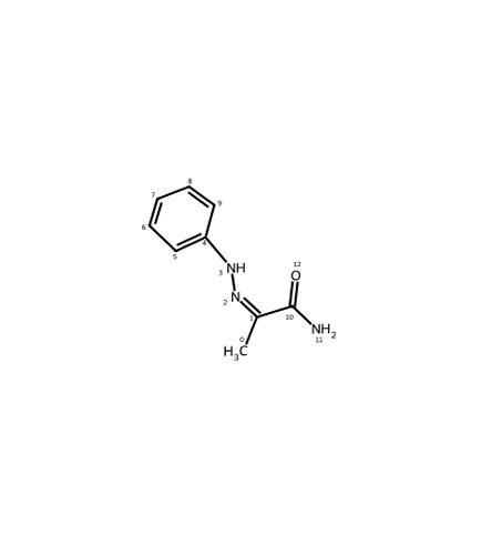 CC(=NNc1ccccc1)C(N)=O